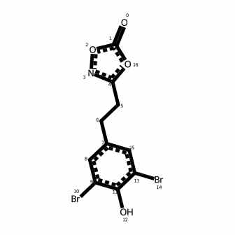 O=c1onc(CCc2cc(Br)c(O)c(Br)c2)o1